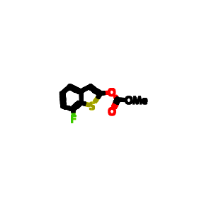 COC(=O)Oc1cc2cccc(F)c2s1